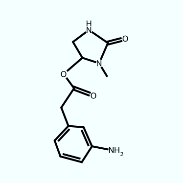 CN1C(=O)NCC1OC(=O)Cc1cccc(N)c1